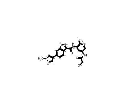 Cc1ncc(NC(=O)CCl)cc1NC(=O)c1noc2cc(-c3cnn(C)c3)ccc12